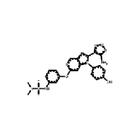 CN(C)S(=O)(=O)Nc1cccc(Oc2cc3c(cn2)nc(-c2nonc2N)n3-c2ccc(O)cc2)c1